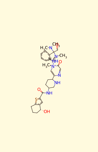 CN(C)C(C=O)(c1ccccc1N[N@@+]1(C)C=C(C2CCC(NC(=O)c3cc4c(s3)CCC[C@H]4O)CN2)N=CC1=O)N(C)C